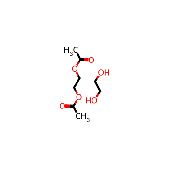 CC(=O)OCCOC(C)=O.OCCO